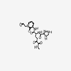 CNC(=O)C(=O)CCC(NC(=O)C1=NNCN1)C(=O)Nc1cccn(CC=O)c1=O